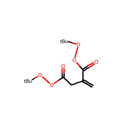 C=C(CC(=O)OOC(C)(C)C)C(=O)OOC(C)(C)C